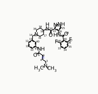 CN(C)C/C=C/C(=O)Nc1cccc(CN2CCC(NC(=O)c3n[nH]cc3NC(=O)c3c(F)cccc3F)CC2)c1